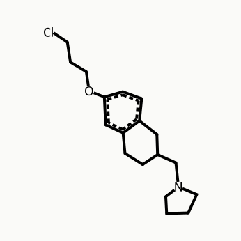 ClCCCOc1ccc2c(c1)CCC(CN1CCCC1)C2